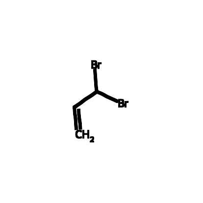 C=CC(Br)Br